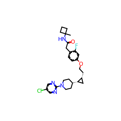 CC1(NC(=O)Cc2ccc(OCC[C@@H]3C[C@@H]3C3CCN(c4ncc(Cl)cn4)CC3)cc2F)CCC1